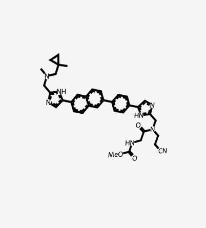 COC(=O)NCC(=O)N(CCC#N)Cc1ncc(-c2ccc(-c3ccc4cc(-c5cnc(CN(C)CC6(C)CC6)[nH]5)ccc4c3)cc2)[nH]1